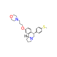 CSc1ccc([C@H]2CN3CCC[C@@H]3c3cc(OCCCN4CCOCC4)ccc32)cc1